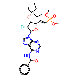 CC[Si](CC)(CC)O[C@H]1[C@H](F)[C@H](n2cnc3c(NC(=O)c4ccccc4)ncnc32)O[C@@H]1/C=C/P(=O)(OC)OC